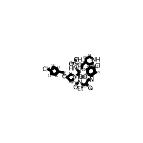 CC[C@H](NC(=O)[C@@H]1C[C@@H](OCc2ccc(Cl)cc2)CN1C(=O)[C@@H](CCC1CCNCC1)NS(C)(=O)=O)C(=O)c1nc2cc(Cl)ccc2o1